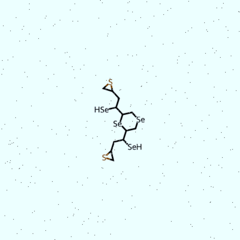 [SeH]C(CC1CS1)C1C[Se]CC(C([SeH])CC2CS2)[Se]1